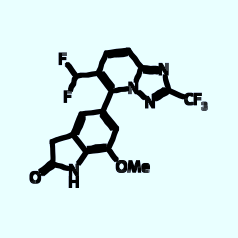 COc1cc(-c2c(C(F)F)ccc3nc(C(F)(F)F)nn23)cc2c1NC(=O)C2